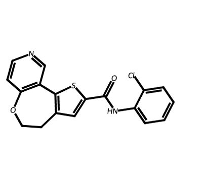 O=C(Nc1ccccc1Cl)c1cc2c(s1)-c1cnccc1OCC2